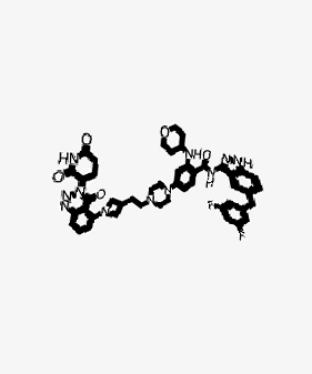 O=C1CCC(n2nnc3cccc(N4CC(CCN5CCN(c6ccc(C(=O)Nc7n[nH]c8ccc(Cc9cc(F)cc(F)c9)cc78)c(NC7CCOCC7)c6)CC5)C4)c3c2=O)C(=O)N1